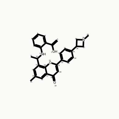 C=C(O)c1ccccc1NC(C)c1cc(C)cc2c(=O)cc(-c3ccc(C4CN(C)C4)cc3)oc12